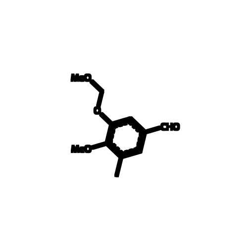 COCOc1cc(C=O)cc(C)c1OC